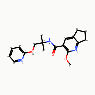 COc1nc2c(cc1C(=O)NC(C)(C)COc1ccccn1)CCC2